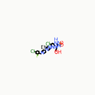 CC[C@H]1CN(c2ncc(NC3=NS(=O)(=O)N=C3NCCO)cc2Cl)CCN1C1CCN(Cc2ccc(Cl)cc2F)CC1